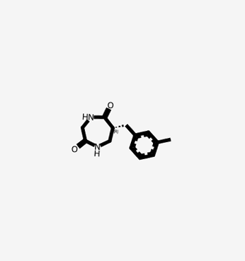 Cc1cccc(C[C@@H]2CNC(=O)CNC2=O)c1